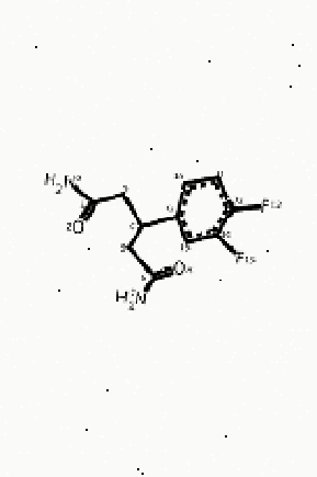 NC(=O)CC(CC(N)=O)c1ccc(F)c(F)c1